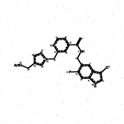 C=C(NCc1cc2c(Cl)c[nH]c2cc1F)c1ccnc(Cn2cc(CNC(C)=O)cn2)c1